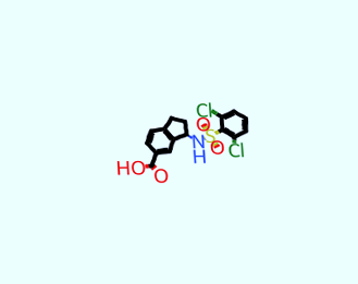 O=C(O)c1ccc2c(c1)[C@H](NS(=O)(=O)c1c(Cl)cccc1Cl)CC2